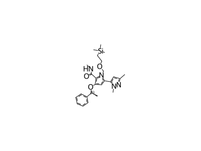 CNC(=O)c1c(O[C@@H](C)c2ccccc2)cc(-c2cc(C)nn2C)n1COCC[Si](C)(C)C